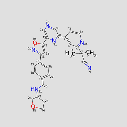 CC(C)(C#N)c1cc(-c2cncc(-c3cc(-c4ccc(CNC5CCOC5)cc4)no3)n2)ccn1